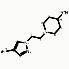 CC(C)c1cnn(CCN2CCC(C#N)CC2)c1